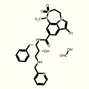 CCc1cn2c3c(cc(C(=O)N[C@@H](Cc4ccccc4)[C@H](O)CNCc4ccccn4)cc13)N(C)S(=O)(=O)CC2.O=CO